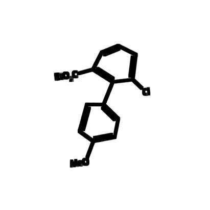 CCOC(=O)c1cccc(Cl)c1-c1ccc(OC)cc1